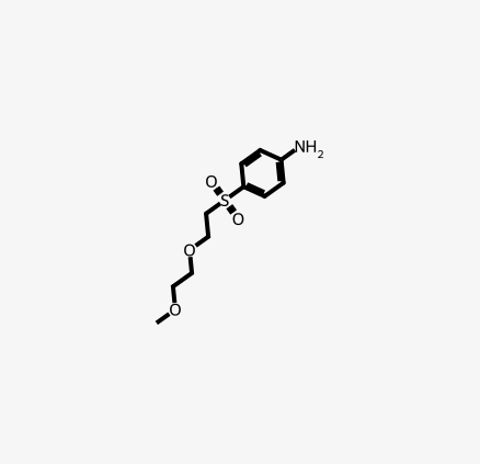 COCCOCCS(=O)(=O)c1ccc(N)cc1